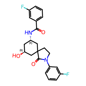 O=C(N[C@H]1C[C@H](O)CC2(CCN(c3cccc(F)c3)C2=O)C1)c1cccc(F)c1